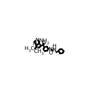 CC(C)n1cc(C(=O)c2cccc(NC(=O)NCc3ccccc3)c2)c2c(N)ncnc21